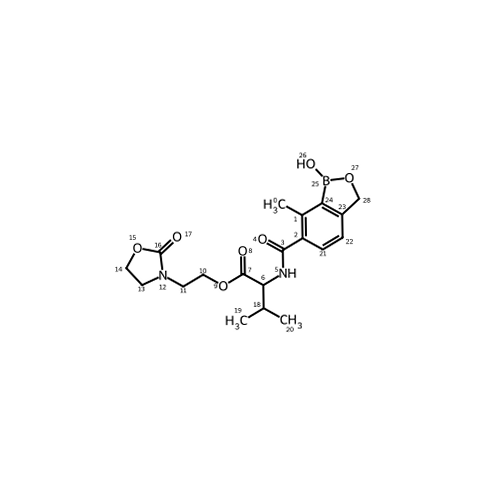 Cc1c(C(=O)NC(C(=O)OCCN2CCOC2=O)C(C)C)ccc2c1B(O)OC2